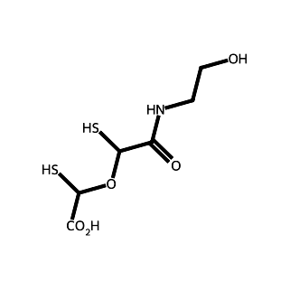 O=C(O)C(S)OC(S)C(=O)NCCO